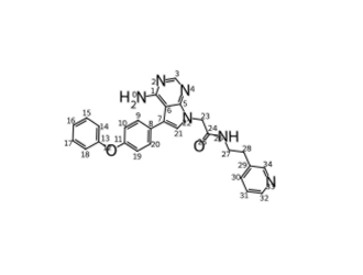 Nc1ncnc2c1c(-c1ccc(Oc3ccccc3)cc1)cn2CC(=O)NCCc1cccnc1